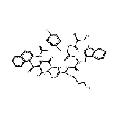 CC(=O)Nc1ccc2ccccc2c1C(=O)C(CS)NC(=O)C(NC(=O)C(CCCCN)NC(=O)[C@@H](Cc1c[nH]c2ccccc12)NC(=O)C(Cc1ccc(O)cc1)NC(=O)C(N)CS)C(C)C